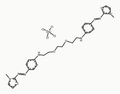 C[n+]1ccsc1/N=N/c1ccc(NCCOCCOCCNc2ccc(/N=N/c3scc[n+]3C)cc2)cc1.[Cl][Zn-2]([Cl])([Cl])[Cl]